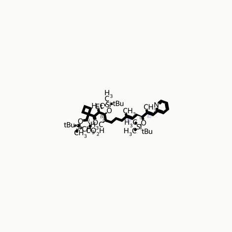 CCC(C(=O)C1([C@H](CC(=O)O)O[Si](C)(C)C(C)(C)C)CCC1)[C@@H](O[Si](C)(C)C(C)(C)C)[C@@H](C)CCC/C(C)=C/C[C@H](O[Si](C)(C)C(C)(C)C)/C(C)=C/c1ccccn1